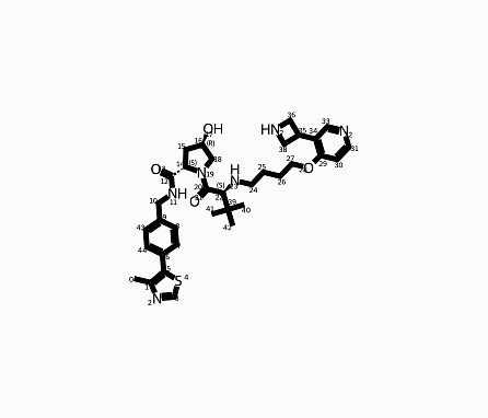 Cc1ncsc1-c1ccc(CNC(=O)[C@@H]2C[C@@H](O)CN2C(=O)[C@@H](NCCCCOc2ccncc2C2CNC2)C(C)(C)C)cc1